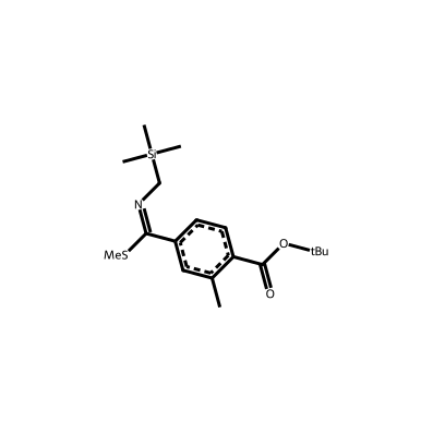 CS/C(=N/C[Si](C)(C)C)c1ccc(C(=O)OC(C)(C)C)c(C)c1